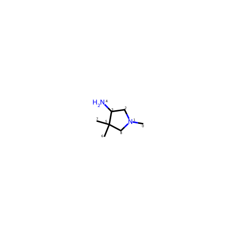 CN1CC(N)C(C)(C)C1